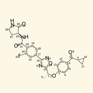 C[C@@H](Oc1ccc(C(=O)C2CC2)cc1)c1nc(-c2ccc(C(=O)N[C@H]3CCNC3=O)c(F)c2)no1